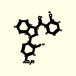 CCOC(=O)c1ccc(-n2cc(C(=O)c3ccccc3Cl)c3ccccc32)c(F)c1